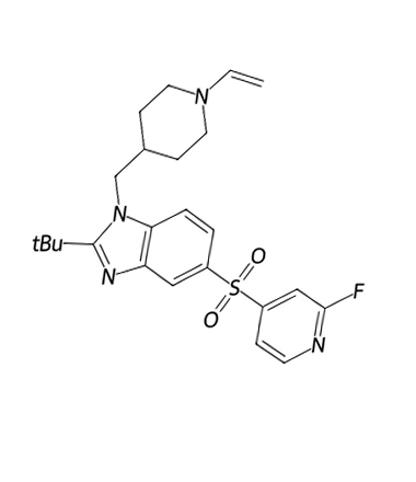 C=CN1CCC(Cn2c(C(C)(C)C)nc3cc(S(=O)(=O)c4ccnc(F)c4)ccc32)CC1